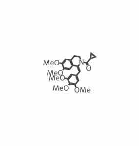 COc1cc2c(cc1OC)C(=Cc1cc(OC)c(OC)c(OC)c1)N(C(=O)C1CC1)CC2